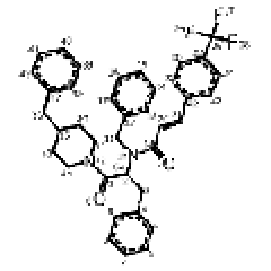 O=C([C@H](Cc1ccccc1)N(Cc1ccccc1)C(=O)C=Cc1ccc(C(F)(F)F)cc1)N1CCC(Cc2ccccc2)CC1